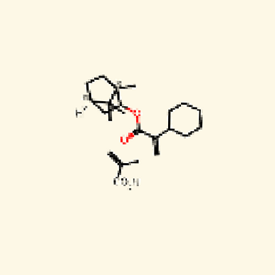 C=C(C(=O)OC1C[C@H]2CC[C@@]1(C)C2(C)C)C1CCCCC1.C=C(C)C(=O)O